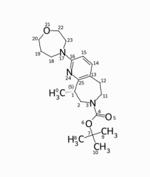 C[C@H]1CN(C(=O)OC(C)(C)C)CCc2ccc(N3CCCOCC3)nc21